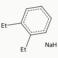 CCc1ccccc1CC.[NaH]